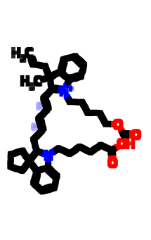 C=CCC1(C)C(/C=C/C=C/CC2N(CCCCCC(=O)O)c3ccccc3C23CCCC3)=[N+](CCCCCOC=O)c2ccccc21